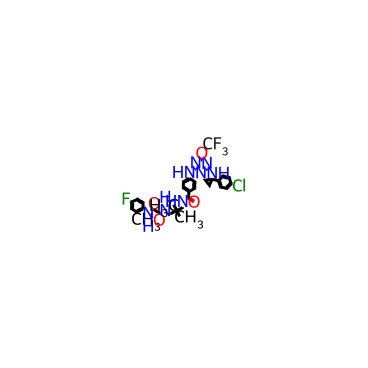 Cc1cc(F)ccc1NC(=O)C(=O)NCC(C)(C)CNC(=O)c1ccc(Nc2nc(NC3(c4ccc(Cl)cc4)CC3)nc(OCC(F)(F)F)n2)cc1